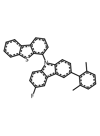 Cc1cccc(C)c1-c1ccc2c(c1)c1cc(F)ccc1n2-c1cccc2c1sc1ccccc12